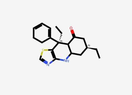 CC[C@@H]1CC(=O)C2C(C1)Nc1ncsc1[C@@]2(CC)C1=CC=CCC1